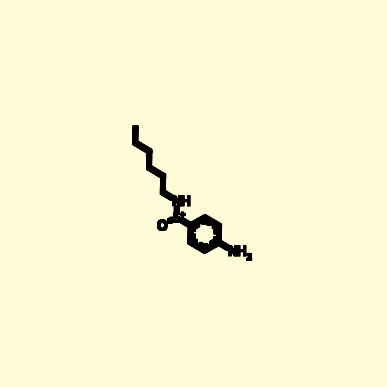 CCCCCCN[S+]([O-])c1ccc(N)cc1